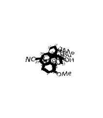 COc1ccc2c3c1O[C@@H]1[C@@]4(OC)CC[C@]5(C[C@@H]4[C@](C)(O)C(C)(C)C)C(C2)N(C#N)CC[C@@]315